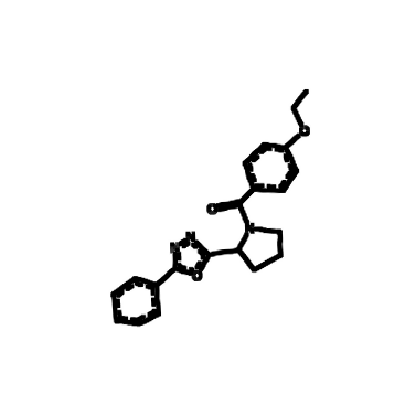 CCOc1ccc(C(=O)N2CCCC2c2nnc(-c3ccccc3)o2)cc1